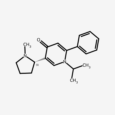 CC(C)n1cc([C@@H]2CCCN2C)c(=O)cc1-c1ccccc1